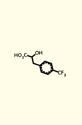 O=C(O)C(O)Cc1ccc(C(F)(F)F)cc1